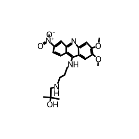 COc1cc2nc3cc([N+](=O)[O-])ccc3c(NCCCNCC(C)(C)O)c2cc1OC